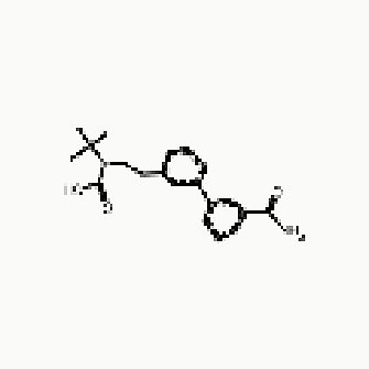 CC(C)(C)N(CCc1cccc(-c2cccc(C(N)=O)c2)c1)C(=O)O